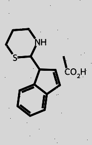 C1=CC(C2NCCCS2)c2ccccc21.CC(=O)O